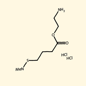 CNSCCCC(=O)OCCN.Cl.Cl